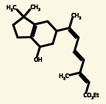 CCOC(=O)/C=C(C)/C=C/C=C(/C)C1CC2=C(CCC2(C)C)C(O)C1